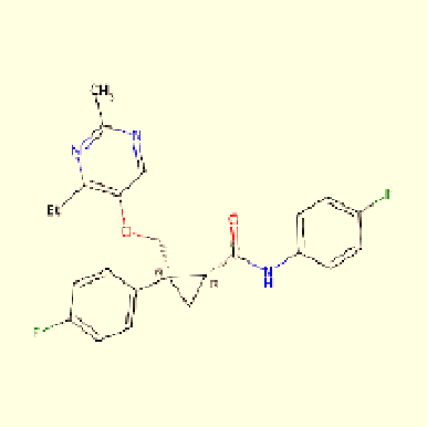 CCc1nc(C)ncc1OC[C@@]1(c2ccc(F)cc2)C[C@H]1C(=O)Nc1ccc(F)cc1